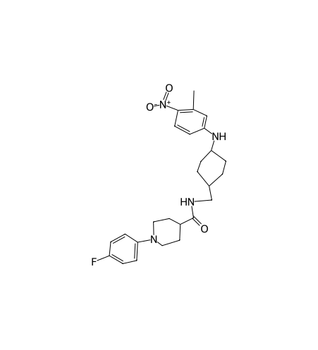 Cc1cc(NC2CCC(CNC(=O)C3CCN(c4ccc(F)cc4)CC3)CC2)ccc1[N+](=O)[O-]